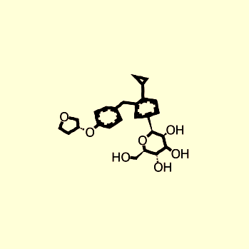 OC[C@H]1O[C@@H](c2ccc(C3CC3)c(Cc3ccc(O[C@@H]4CCOC4)cc3)c2)[C@H](O)C(O)[C@@H]1O